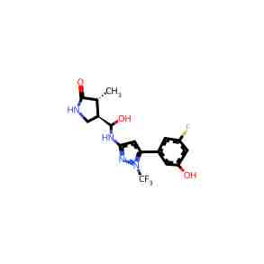 C[C@H]1C(=O)NC[C@@H]1C(O)Nc1cc(-c2cc(O)cc(F)c2)n(C(F)(F)F)n1